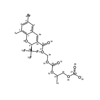 Cc1cc(Br)cc2c1O[C@H](C(F)(F)F)C(C(=O)OCOC(=O)OC(C)CO[N+](=O)[O-])=C2